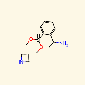 C1CNC1.CO[SiH](OC)c1ccccc1C(C)N